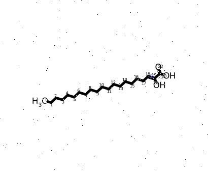 CCCCCCCCCCCCCCCCCC/C=C(\O)C(=O)O